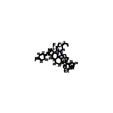 C=N/C(=C\C(=C/C)C(F)(F)F)C(=O)[C@]12Cc3cnn(-c4ccc(F)cc4)c3C=C1CCN(S(=O)(=O)c1ccnn1CC)C2